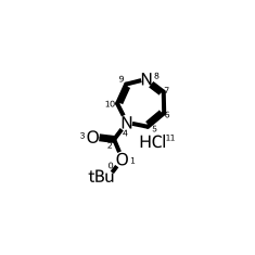 CC(C)(C)OC(=O)N1C=CC=NC=C1.Cl